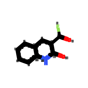 O=C(F)c1cc2ccccc2[nH]c1=O